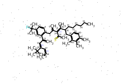 C=C(Cc1ccc(C(C)(C)F)cc1C(=C)/C=C(\C=C/C)C(C)(C)C)/C(C(C)=S)=C(\C)C(CCCCCC)Cc1ccc(C)c(C)c1C